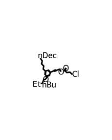 CCCCCCCCCCCCCCCc1cc(C#CCOC(=O)CCCCl)cc(OCC(CC)CCCC)c1